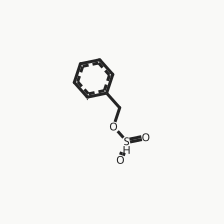 O=[SH](=O)OCc1[c]cccc1